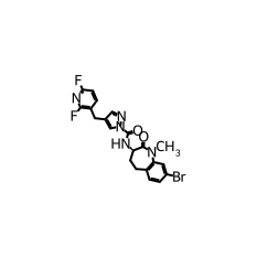 CN1C(=O)[C@H](NC(=O)n2cc(Cc3ccc(F)nc3F)cn2)CCc2ccc(Br)cc21